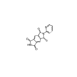 O=c1[nH]c(=O)c2cc3c(=O)n(-c4ccccn4)c(=O)c3cc12